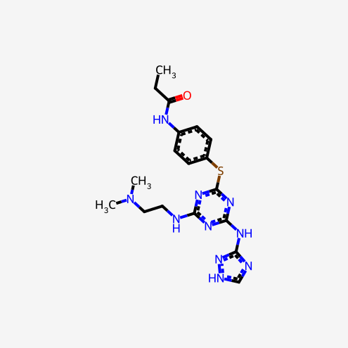 CCC(=O)Nc1ccc(Sc2nc(NCCN(C)C)nc(Nc3nc[nH]n3)n2)cc1